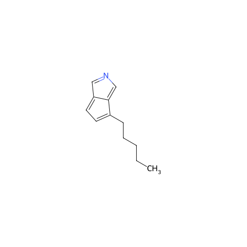 CCCCCC1=CC=C2C=NC=C21